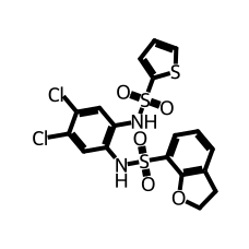 O=S(=O)(Nc1cc(Cl)c(Cl)cc1NS(=O)(=O)c1cccc2c1OCC2)c1cccs1